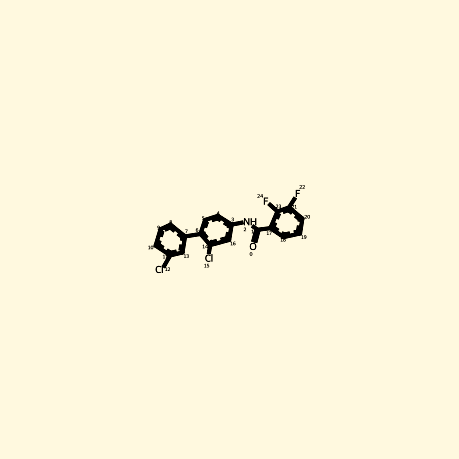 O=C(Nc1ccc(-c2cccc(Cl)c2)c(Cl)c1)c1cccc(F)c1F